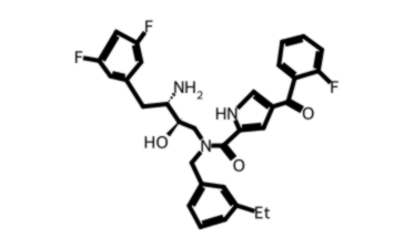 CCc1cccc(CN(C[C@@H](O)[C@@H](N)Cc2cc(F)cc(F)c2)C(=O)c2cc(C(=O)c3ccccc3F)c[nH]2)c1